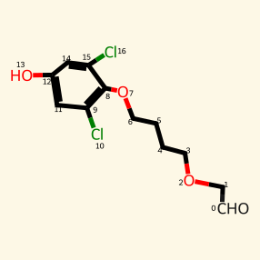 O=CCOCCCCOc1c(Cl)cc(O)cc1Cl